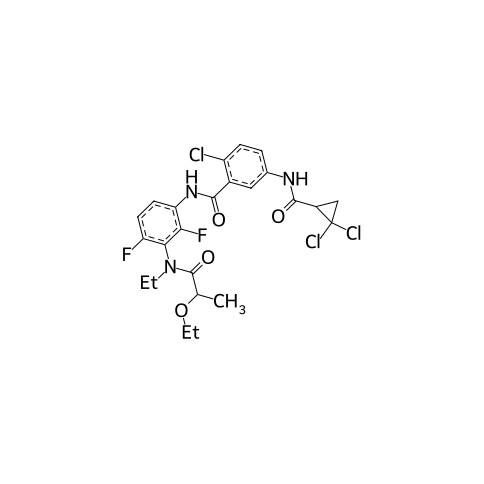 CCOC(C)C(=O)N(CC)c1c(F)ccc(NC(=O)c2cc(NC(=O)C3CC3(Cl)Cl)ccc2Cl)c1F